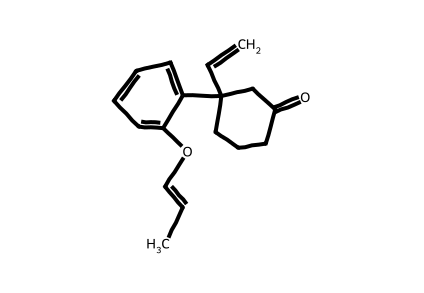 C=CC1(c2ccccc2OC=CC)CCCC(=O)C1